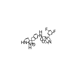 CN1CC(c2cc(F)cc(F)c2)N(CC(=O)Nc2ccc3c(c2)CC2(C3)C(=O)NC3=C2C=CCN3)C(=O)C1(C)C